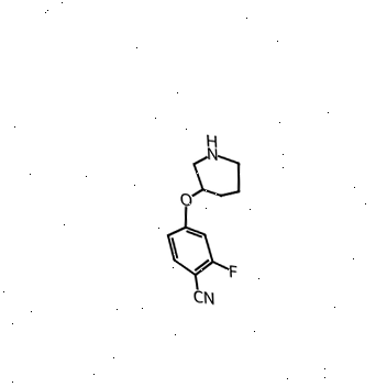 N#Cc1ccc(OC2CCCNC2)cc1F